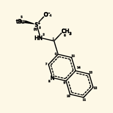 CC(N[S@+]([O-])C(C)(C)C)c1cnc2ccccc2c1